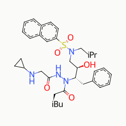 CC[C@H](C)CC(=O)N(NC(=O)CNC1CC1)[C@@H](Cc1ccccc1)[C@H](O)CN(CC(C)C)S(=O)(=O)c1ccc2ccccc2c1